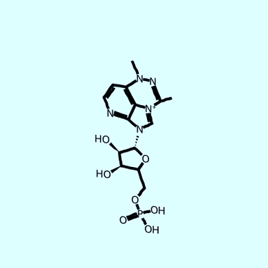 CC1=NN(C)c2ccnc3c2[n+]1cn3[C@@H]1OC(COP(=O)(O)O)[C@@H](O)[C@H]1O